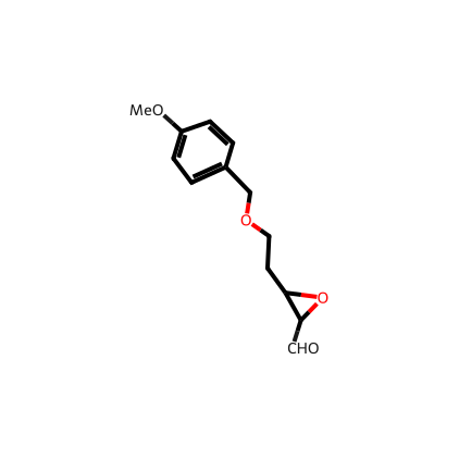 COc1ccc(COCCC2OC2C=O)cc1